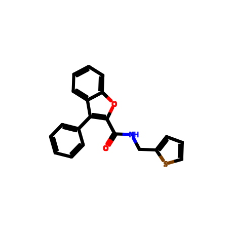 O=C(NCc1cccs1)c1oc2ccccc2c1-c1ccccc1